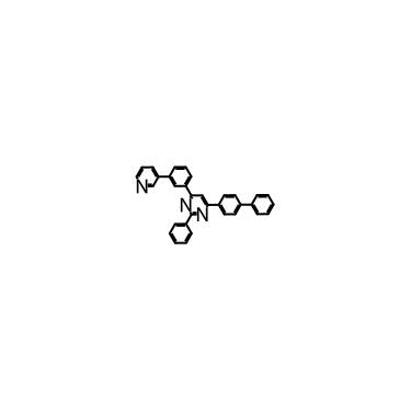 c1ccc(-c2ccc(-c3cc(-c4cccc(-c5cccnc5)c4)nc(-c4ccccc4)n3)cc2)cc1